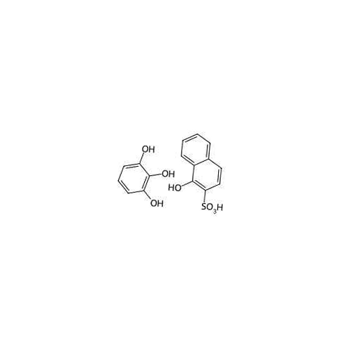 O=S(=O)(O)c1ccc2ccccc2c1O.Oc1cccc(O)c1O